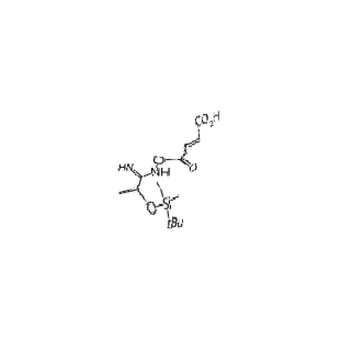 CC(O[Si](C)(C)C(C)(C)C)C(=N)NOC(=O)C=CC(=O)O